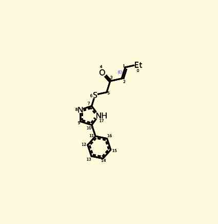 CC/C=C/C(=O)CSc1ncc(-c2ccccc2)[nH]1